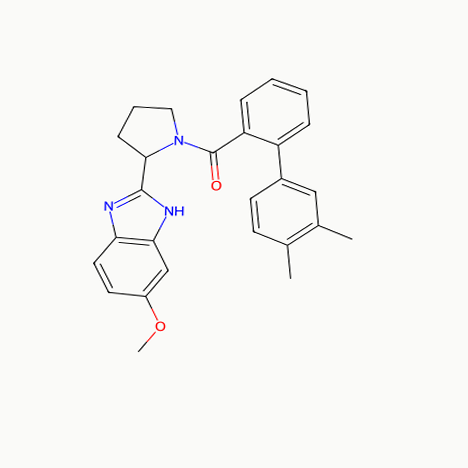 COc1ccc2nc(C3CCCN3C(=O)c3ccccc3-c3ccc(C)c(C)c3)[nH]c2c1